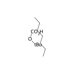 CC(C)(C)OC(=O)O.CCCCCCC